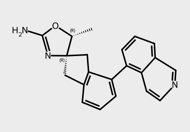 C[C@H]1OC(N)=N[C@@]12Cc1cccc(-c3cccc4cnccc34)c1C2